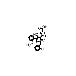 COc1ccccc1-c1nn(Cc2ccccc2Cl)c(=O)c(C(=O)NCC(=O)O)c1O